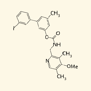 COc1c(C)cnc(CNC(=O)Oc2cc(C)cc(-c3cccc(I)c3)c2)c1C